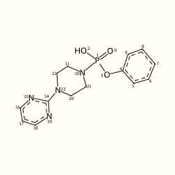 O=P(O)(Oc1ccccc1)N1CCN(c2ncccn2)CC1